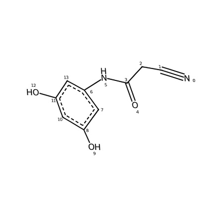 N#CCC(=O)Nc1cc(O)cc(O)c1